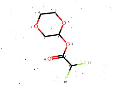 O=C(OC1COCCO1)C(F)F